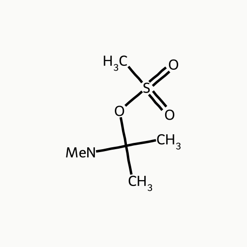 CNC(C)(C)OS(C)(=O)=O